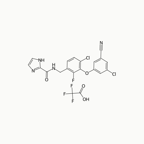 N#Cc1cc(Cl)cc(Oc2c(Cl)ccc(CNC(=O)c3ncc[nH]3)c2F)c1.O=C(O)C(F)(F)F